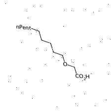 [CH2]CCCCCCCCCOCC(=O)O